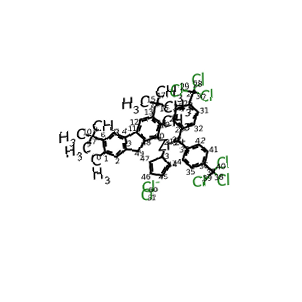 Cc1cc2c(cc1C(C)(C)C)-c1cc(C(C)(C)C)c(C)[c]([Zr+2](=[C](c3ccc(C(Cl)(Cl)Cl)cc3)c3ccc(C(Cl)(Cl)Cl)cc3)[CH]3C=CC=C3)c1C2.[Cl-].[Cl-]